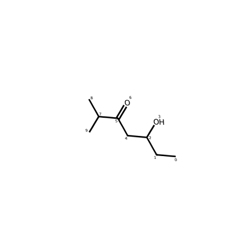 CCC(O)CC(=O)C(C)C